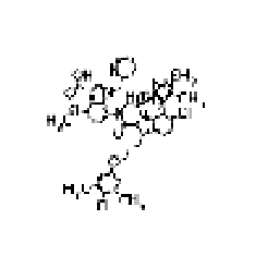 COc1ccc(N2CC(C)n3c(c(CCCOc4cc(C)c(Cl)c(C)c4)c4ccc(Cl)c(-c5c(C)nn(C)c5C)c43)C2=O)c2c1c(C(=O)O)cn2Cc1ccccn1